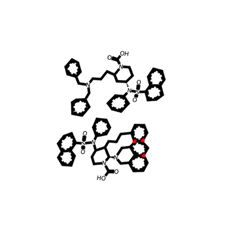 O=C(O)N1CCC(N(c2ccccc2)S(=O)(=O)c2cccc3ccccc23)C(CCCc2ccccc2)[C@H]1N(Cc1ccccc1)Cc1ccccc1.O=C(O)N1CC[C@H](N(c2ccccc2)S(=O)(=O)c2cccc3ccccc23)CC1CCCN(Cc1ccccc1)Cc1ccccc1